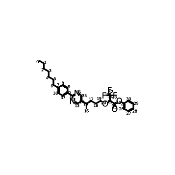 CCCCCCCc1ccc(-c2ncc(C(C)CCCOC(C(=O)Oc3ccccc3)C(F)(F)F)cn2)cc1